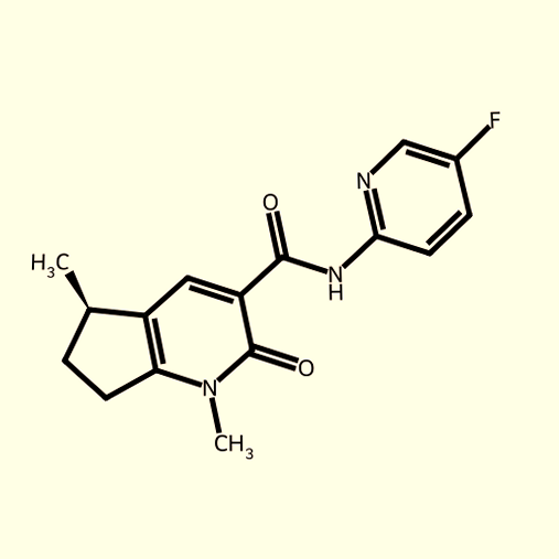 C[C@@H]1CCc2c1cc(C(=O)Nc1ccc(F)cn1)c(=O)n2C